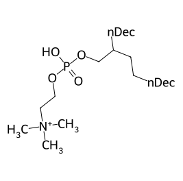 CCCCCCCCCCCCC(CCCCCCCCCC)COP(=O)(O)OCC[N+](C)(C)C